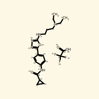 CCN(CC)CCCNc1nnc(-c2ccc(NC(=O)C3CC3)cc2)o1.O=C(O)C(F)(F)F